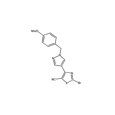 COc1ccc(Cn2cc(-c3nc(Br)sc3C#N)cn2)cc1